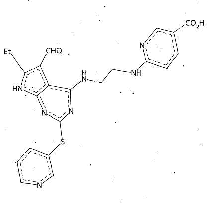 CCc1[nH]c2nc(Sc3cccnc3)nc(NCCNc3ccc(C(=O)O)cn3)c2c1C=O